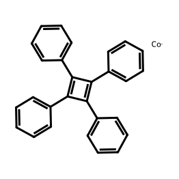 [Co].c1ccc(C2=C(c3ccccc3)C(c3ccccc3)=C2c2ccccc2)cc1